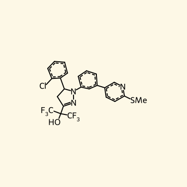 CSc1ccc(-c2cccc(N3N=C(C(O)(C(F)(F)F)C(F)(F)F)CC3c3ccccc3Cl)c2)cn1